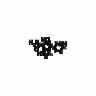 Cl.NC(=O)c1cnc([C@H]2CCCNC2)c2cc[nH]c12